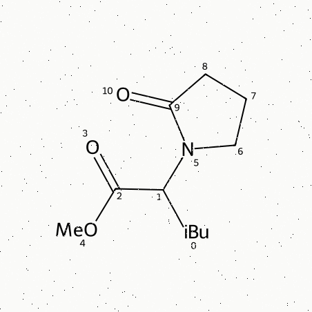 CCC(C)C(C(=O)OC)N1CCCC1=O